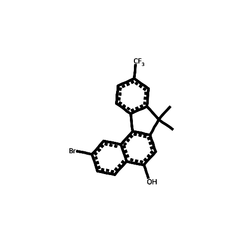 CC1(C)c2cc(C(F)(F)F)ccc2-c2c1cc(O)c1ccc(Br)cc21